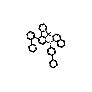 CC1(C)c2ccccc2-c2c(-c3ccccc3-c3ccccc3)ccc(N(c3ccc(-c4ccccc4)cc3)c3cccc4ccccc34)c21